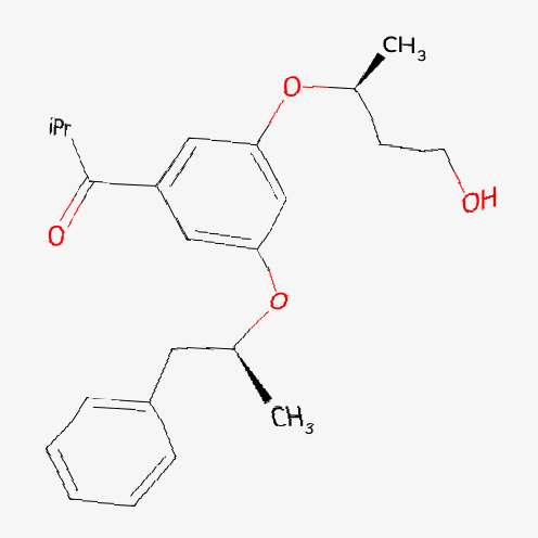 CC(C)C(=O)c1cc(O[C@@H](C)CCO)cc(O[C@@H](C)Cc2ccccc2)c1